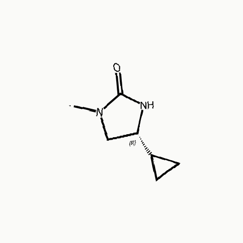 [CH2]N1C[C@@H](C2CC2)NC1=O